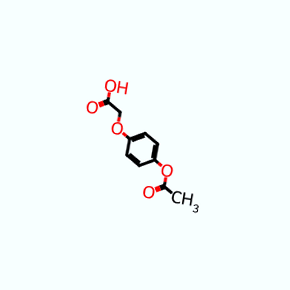 CC(=O)Oc1ccc(OCC(=O)O)cc1